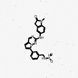 CN1C(=O)Cc2cc(Nc3ncc4ccc(-c5cccc(CN[SH](=O)=O)c5)n4n3)ccc21